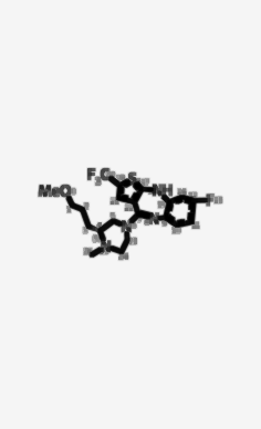 COCCC[C@H]1CN(C2=Nc3ccc(F)cc3Nc3sc(C(F)(F)F)cc32)CCN1C